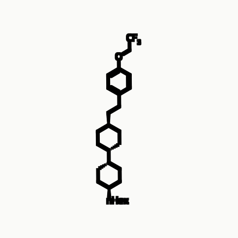 CCCCCC[C@H]1CC[C@H]([C@H]2CC[C@H](CCc3ccc(OCC(F)(F)F)cc3)CC2)CC1